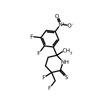 CC1(c2cc([N+](=O)[O-])cc(F)c2F)CCC(F)(CF)C(=S)N1